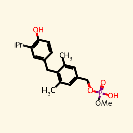 COP(=O)(O)OCc1cc(C)c(Cc2ccc(O)c(C(C)C)c2)c(C)c1